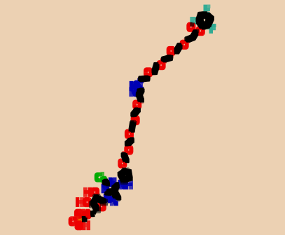 O=C(CCOCCOCCOCCOCCn1cc(COCCOCCOCCOCCO[C@@H]2CC[C@H](Nc3nc(Cl)nc4c3cnn4[C@@H]3O[C@H](COCP(=O)(O)O)[C@@H](O)[C@H]3O)C2)nn1)Oc1c(F)cc(F)cc1F